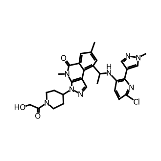 Cc1cc(C(C)Nc2ccc(Cl)nc2-c2cnn(C)c2)c2c(c1)c(=O)n(C)c1c2cnn1C1CCN(C(=O)CO)CC1